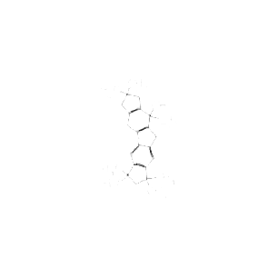 CC1(C)CC2=C(C1)C(C)(C)C1=C(C2)c2cc3c(cc2C1)C(C)(C)CC3(C)C